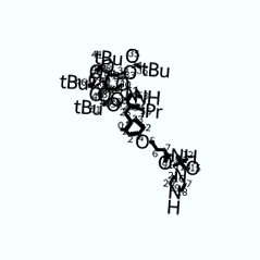 Cc1cc(OCCCC(=O)NC(C)(C)C(=O)N2CCNCC2)ccc1Cc1c(O[C@@H]2O[C@H](COC(=O)C(C)(C)C)[C@@H](OC(=O)C(C)(C)C)[C@H](OC(=O)C(C)(C)C)[C@H]2OC(=O)C(C)(C)C)n[nH]c1C(C)C